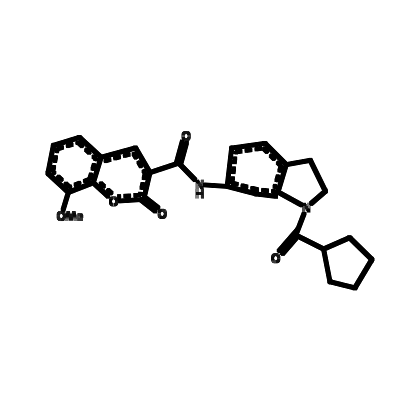 COc1cccc2cc(C(=O)Nc3ccc4c(c3)N(C(=O)C3CCCC3)CC4)c(=O)oc12